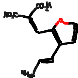 CCCCCCC=Cc1ccoc1C=C(C(=O)O)C(=O)O